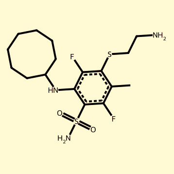 Cc1c(F)c(S(N)(=O)=O)c(NC2CCCCCCC2)c(F)c1SCCN